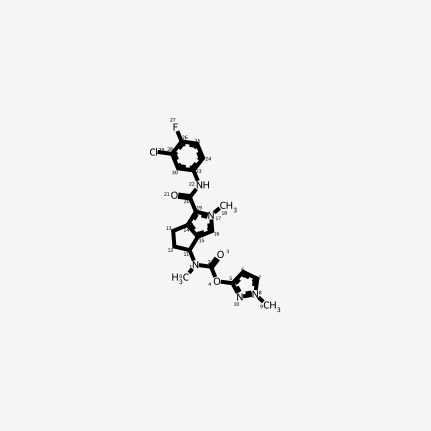 CN(C(=O)Oc1ccn(C)n1)C1CCc2c1cn(C)c2C(=O)Nc1ccc(F)c(Cl)c1